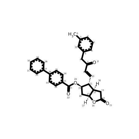 Cc1cccc(CC(=O)/C=C/[C@@H]2[C@H]3CC(=O)O[C@H]3C[C@H]2OC(=O)c2ccc(-c3ccccc3)cc2)c1